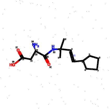 CC(C)(/C=C/C1CCCC1)NC(=O)[C@@H](N)CC(=O)O